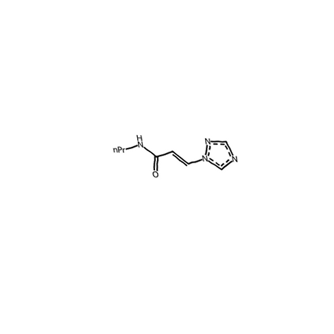 CCCNC(=O)/C=C/n1cncn1